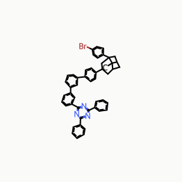 Brc1ccc(C23CC4CC5CC(c6ccc(-c7cccc(-c8cccc(-c9nc(-c%10ccccc%10)nc(-c%10ccccc%10)n9)c8)c7)cc6)(C2)CC543)cc1